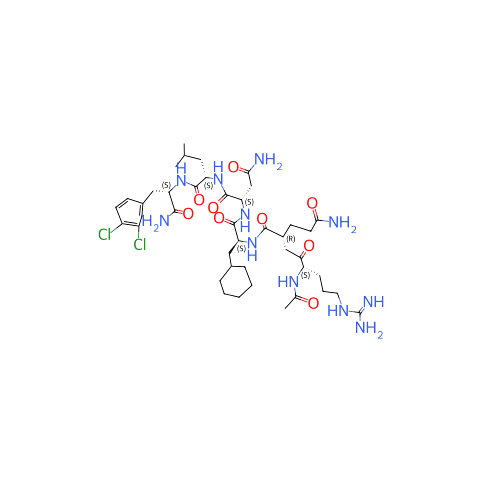 CC(=O)N[C@@H](CCCNC(=N)N)C(=O)C[C@@H](CCC(N)=O)C(=O)N[C@@H](CC1CCCCC1)C(=O)N[C@@H](CC(N)=O)C(=O)N[C@@H](CC(C)C)C(=O)N[C@@H](Cc1ccc(Cl)c(Cl)c1)C(N)=O